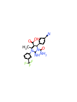 CC1=C(C(=O)O)C(c2ccc(C#N)cc2)N(C(N)=O)C(=N)N1c1cccc(C(F)(F)F)c1